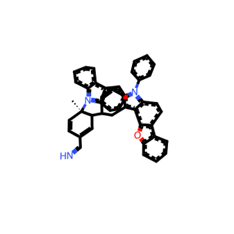 C[C@@]1(n2c3ccccc3c3ccccc32)C=CC(C=N)=CC1C1C=Cc2c(c3c4oc5ccccc5c4ccc3n2-c2ccccc2)C1